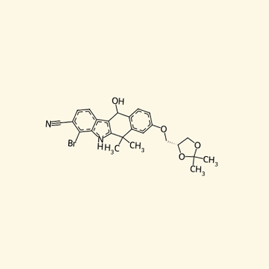 CC1(C)OC[C@@H](COc2ccc3c(c2)C(C)(C)c2[nH]c4c(Br)c(C#N)ccc4c2C3O)O1